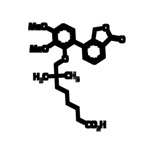 COc1ccc(-c2cccc3c2COC3=O)c(OCC(C)(C)CCCCCC(=O)O)c1OC